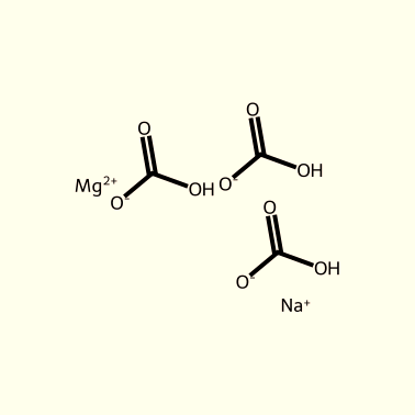 O=C([O-])O.O=C([O-])O.O=C([O-])O.[Mg+2].[Na+]